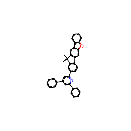 CC1(C)c2cc(-c3cc(-c4ccccc4)cc(-c4ccccc4)n3)ccc2-c2cc3oc4ccccc4c3cc21